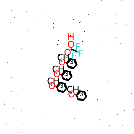 COc1ccccc1.COc1ccccc1.COc1ccccc1.COc1ccccc1.O=C(O)C(F)(F)F